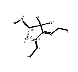 CC/C=C(/NCC)C(C)(Cl)[C@H](O)OC